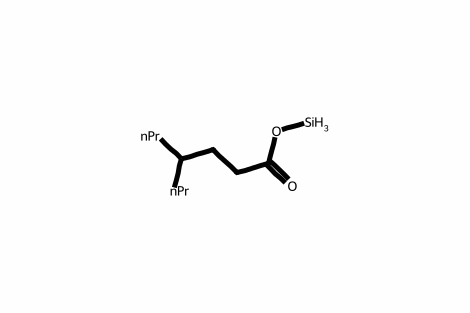 CCCC(CCC)CCC(=O)O[SiH3]